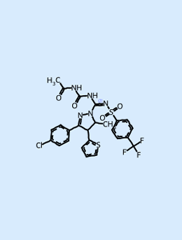 CC(=O)NC(=O)N/C(=N/S(=O)(=O)c1ccc(C(F)(F)F)cc1)N1N=C(c2ccc(Cl)cc2)C(c2cccs2)C1C